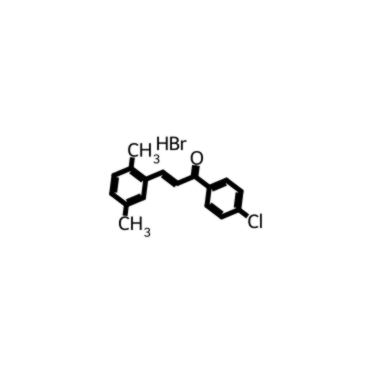 Br.Cc1ccc(C)c(C=CC(=O)c2ccc(Cl)cc2)c1